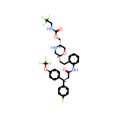 O=C(C[C@@H](c1ccc(F)cc1)c1ccc(OC(F)(F)F)cc1)Nc1ccccc1CC[C@@H]1CN[C@H](COC(=O)NCC(F)(F)F)CO1